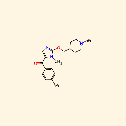 CC(C)c1ccc(C(=O)c2cnc(OCC3CCN(C(C)C)CC3)n2C)cc1